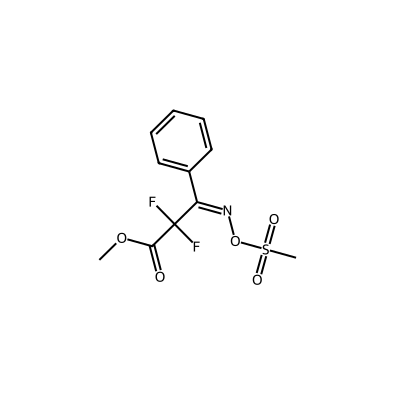 COC(=O)C(F)(F)C(=NOS(C)(=O)=O)c1ccccc1